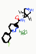 Cl.Cl.O=C(N[C@@H]1[C@@H]2CNC[C@@H]21)c1ccc(-c2cccc(F)c2)nc1